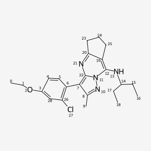 CCOc1ccc(-c2c(C)nn3c(NC(CC)CC)c4c(nc23)CCC4)c(Cl)c1